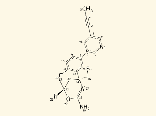 CC#Cc1cncc(-c2ccc(F)c([C@@]3(CF)N=C(N)O[C@@H]4CC43)c2)c1